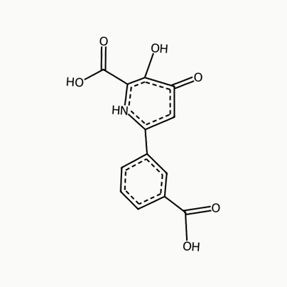 O=C(O)c1cccc(-c2cc(=O)c(O)c(C(=O)O)[nH]2)c1